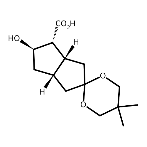 CC1(C)COC2(C[C@@H]3C[C@@H](O)[C@H](C(=O)O)[C@@H]3C2)OC1